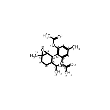 CC(=O)Oc1cc(C)cc(OC(C)=O)c1[C@H]1C(C(C)C)CCC2(C)OC12